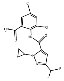 NC(=O)c1cc(Cl)cc(Cl)c1NC(=O)c1cc(C(F)F)nn1C1CC1